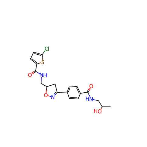 CC(O)CNC(=O)c1ccc(C2=NOC(CNC(=O)c3ccc(Cl)s3)C2)cc1